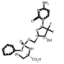 CC(C)C[C@H](NP(=O)(OC[C@H]1O[C@@H](n2ccc(N)nc2=O)C(F)(F)[C@@H]1O)Oc1ccccc1)C(=O)O